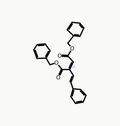 O=C(/C=C(/C=Cc1ccccc1)C(=O)OCc1ccccc1)OCc1ccccc1